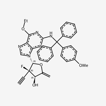 C#C[C@@]1(F)[C@H](O)C(=C)O[C@H]1n1cnc2c(OCC)nc(NC(c3ccccc3)(c3ccccc3)c3ccc(OC)cc3)nc21